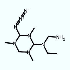 CCN(CN)C1N(C)CN(C)C(N=[N+]=[N-])N1C